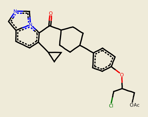 CC(=O)OCC(CCl)Oc1ccc(C2CCC(C(=O)c3c(C4CC4)ccc4cncn34)CC2)cc1